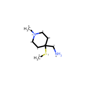 CSC1(CN)CCN(C)CC1